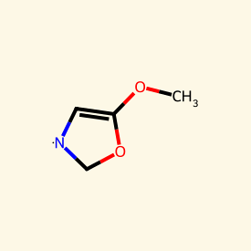 COC1=C[N]CO1